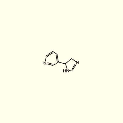 C1=NCC(c2cccnc2)N1